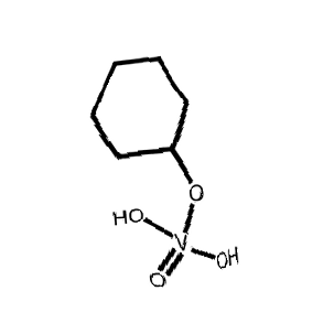 [O]=[V]([OH])([OH])[O]C1CCCCC1